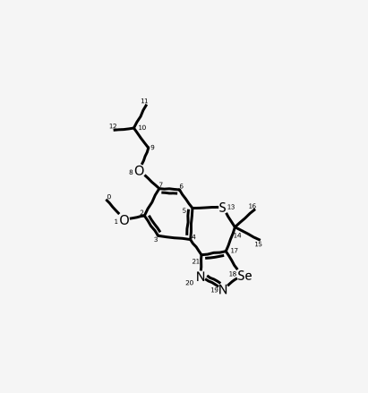 COc1cc2c(cc1OCC(C)C)SC(C)(C)c1[se]nnc1-2